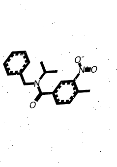 Cc1ccc(C(=O)N(Cc2ccccc2)C(C)C)cc1[N+](=O)[O-]